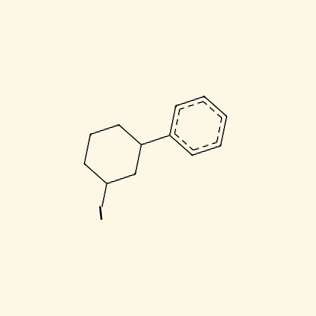 IC1CCCC(c2ccccc2)C1